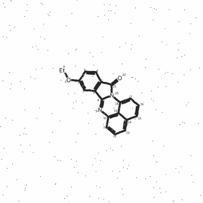 CCOc1ccc2c(c1)C1=Nc3cccc4cccc(c34)N1C2=O